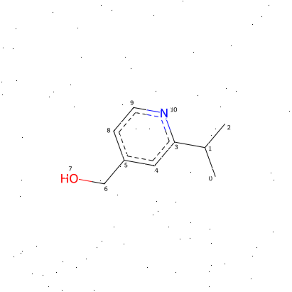 CC(C)c1cc(CO)ccn1